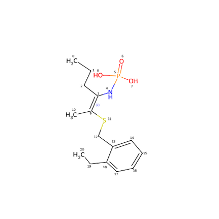 CCC/C(NP(=O)(O)O)=C(\C)SCc1ccccc1CC